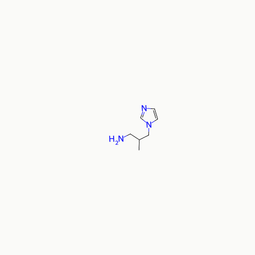 CC(CN)Cn1ccnc1